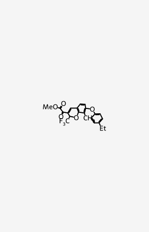 CCc1ccc(Oc2ccc3c(c2C)OC(C(F)(F)F)C(C(=O)C(=O)OC)=C3)cc1